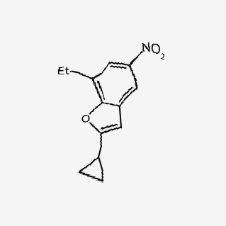 CCc1cc([N+](=O)[O-])cc2cc(C3CC3)oc12